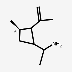 C=C(C)C1C(C(C)N)C[C@H]1C